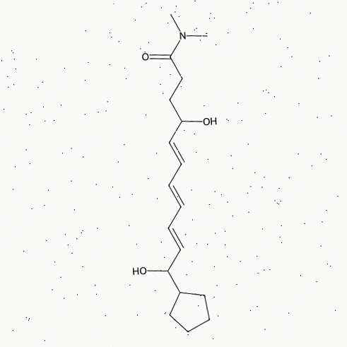 CN(C)C(=O)CCC(O)C=CC=CC=CC(O)C1CCCC1